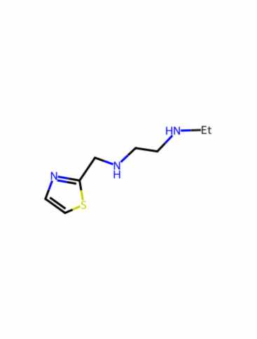 [CH2]CNCCNCc1nccs1